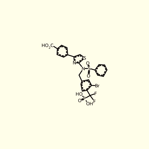 O=C(O)c1ccc(-c2csc(N(Cc3ccc(C(F)(F)P(=O)(O)O)c(Br)c3)S(=O)(=O)c3ccccc3)n2)cc1